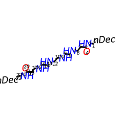 CCCCCCCCCCCNC(=O)CCNCCNCCNCCNCCC(=O)NCCCCCCCCCCC